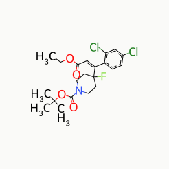 CCOC(=O)C=C(c1ccc(Cl)cc1Cl)C1(F)CCN(C(=O)OC(C)(C)C)CC1